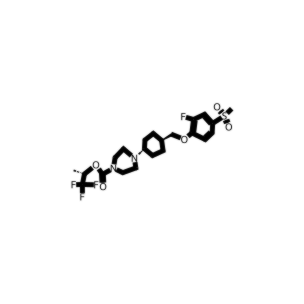 C[C@H](OC(=O)N1CCN([C@H]2CC[C@H](COc3ccc(S(C)(=O)=O)cc3F)CC2)CC1)C(F)(F)F